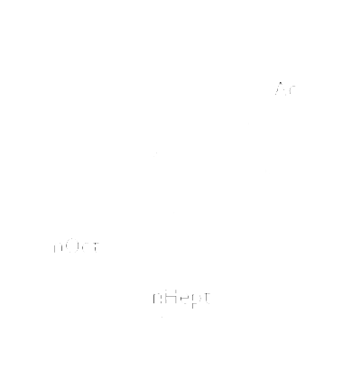 CCCCCCCCC(CCCCCCC)c1ccc(C(C)=O)cc1